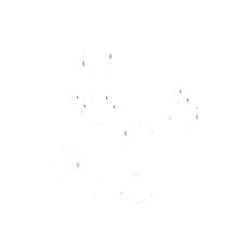 c1ccc(-c2nc(Cc3cccc(-c4ccc5ccccc5c4)c3)cc(-c3cccc(-c4cccnc4)c3)n2)cc1